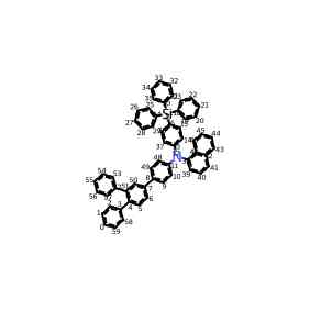 c1ccc(-c2ccc(-c3ccc(N(c4ccc([Si](c5ccccc5)(c5ccccc5)c5ccccc5)cc4)c4cccc5ccccc45)cc3)cc2-c2ccccc2)cc1